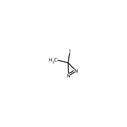 CC1(I)N=N1